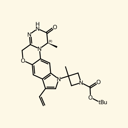 C=Cc1cn(C2(C)CN(C(=O)OC(C)(C)C)C2)c2cc3c(cc12)OCC1=NNC(=O)[C@@H](C)N13